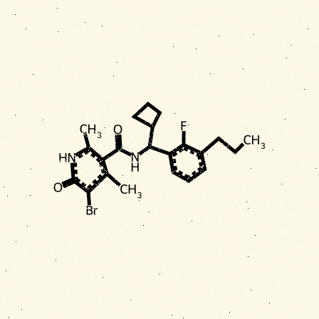 CCCc1cccc(C(NC(=O)c2c(C)[nH]c(=O)c(Br)c2C)C2CCC2)c1F